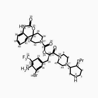 CCCC1CCNCC1N1CCN(C(=O)[C@@H](Cc2cc(Br)c(N)c(C(F)(F)F)c2)OC(=O)N2CCC3(CC2)OC(=O)Nc2ccccc23)CC1